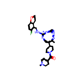 Cc1nnc[nH]c(NCC2=C(F)C=CC3OCCC23)ncc1C1=CCN(C(=O)C2CCN(C)CC2)CC1